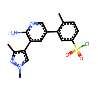 Cc1ccc(S(=O)(=O)Cl)cc1-c1cnc(N)c(-c2cn(C)nc2C)c1